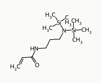 C=CC(=O)NCCCN([Si](C)(C)C)[Si](C)(C)C